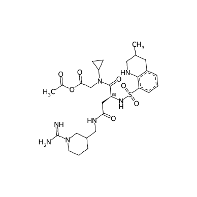 CC(=O)OC(=O)CN(C(=O)[C@H](CC(=O)NCC1CCCN(C(=N)N)C1)NS(=O)(=O)c1cccc2c1NCC(C)C2)C1CC1